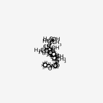 CC[C@@H](C)C1C(OC[C@H](O)C(C)(C)O)[C@H](O)[C@@]2(C)[C@@H]3CC[C@H]4C(C)(C)[C@@H](OC5CN(C(=O)CC6CCCCC6)CCO5)CC[C@@]45CC35CC[C@]12C